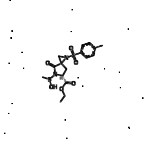 CCOC(=O)[C@H]1CC2(CN2S(=O)(=O)c2ccc(C)cc2)C(=O)N1B(C)O